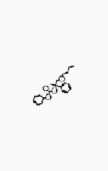 CCCCOCC(C)(OC(=O)Oc1ccccc1)c1ccccc1